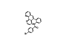 O=C(Nc1ccccc1-c1cc2cccnc2c2ncccc12)c1ccc(Br)cc1